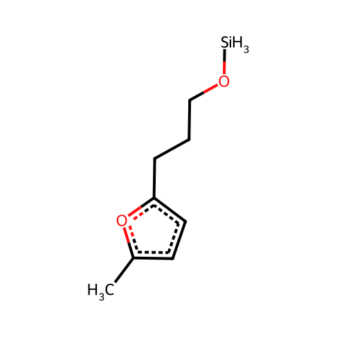 Cc1ccc(CCCO[SiH3])o1